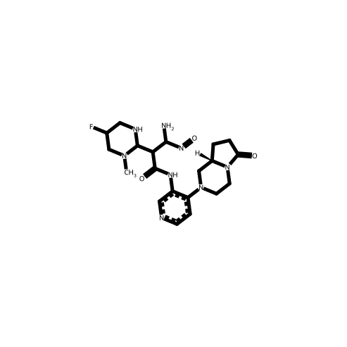 CN1CC(F)CNC1C(C(=O)Nc1cnccc1N1CCN2C(=O)CC[C@H]2C1)C(N)N=O